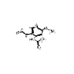 CC(=O)O.COc1ccc(CBr)cn1